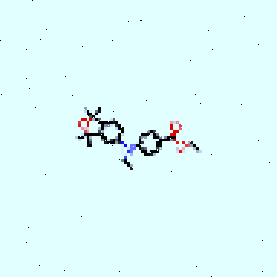 CCOC(=O)c1ccc(N(CC)c2ccc3c(c2)C(C)(C)OC3(C)C)cc1